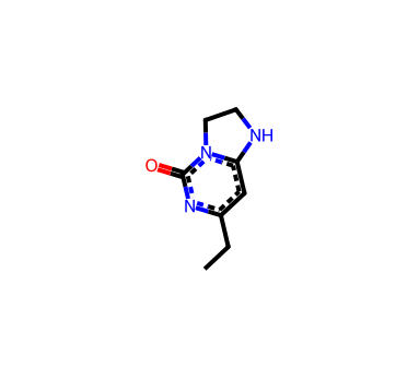 CCc1cc2n(c(=O)n1)CCN2